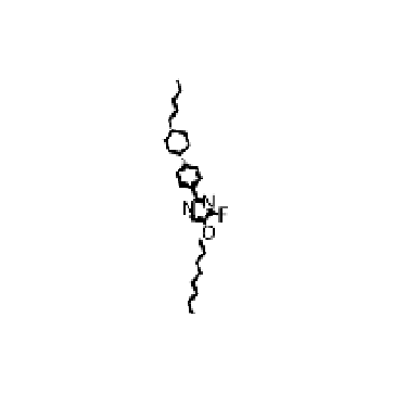 CCCCCCCCOc1cnc(-c2ccc([C@H]3CC[C@H](CCCCC)CC3)cc2)nc1F